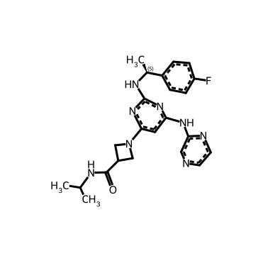 CC(C)NC(=O)C1CN(c2cc(Nc3cnccn3)nc(N[C@@H](C)c3ccc(F)cc3)n2)C1